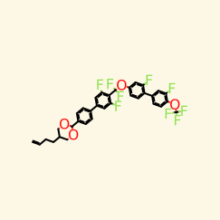 C=CCCC1COC(c2ccc(-c3cc(F)c(C(F)(F)Oc4ccc(-c5ccc(OC(F)(F)F)c(F)c5)c(F)c4)c(F)c3)cc2)OC1